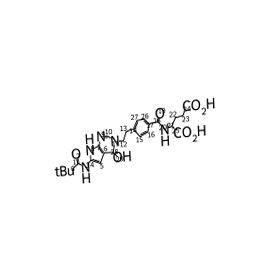 CC(C)(C)C(=O)Nc1cc2c([nH]1)N=CN(CCc1ccc(C(=O)N[C@H](CCC(=O)O)C(=O)O)cc1)C2O